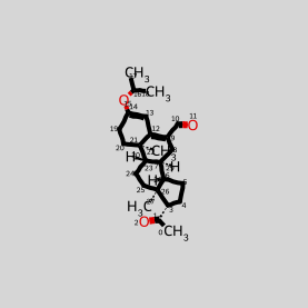 CC(=O)[C@H]1CC[C@H]2[C@@H]3CC(C=O)=C4C=C(OC(C)C)CC[C@]4(C)[C@H]3CC[C@]12C